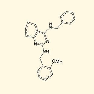 COc1ccccc1CNc1nc(NCc2ccccc2)c2ccccc2n1